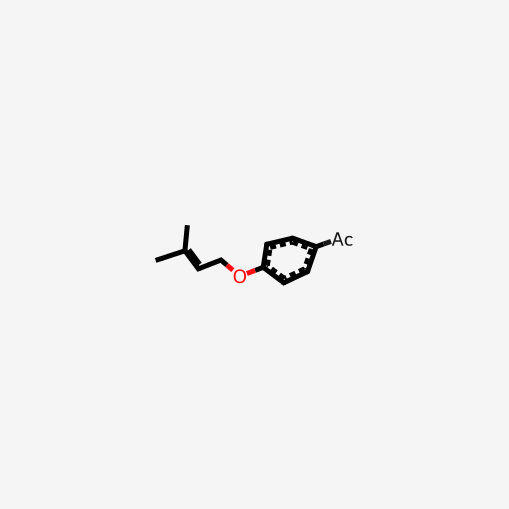 CC(=O)c1ccc(OCC=C(C)C)cc1